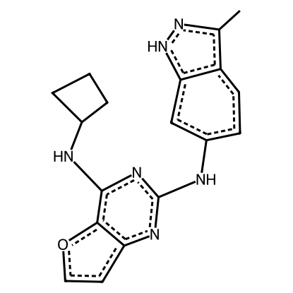 Cc1n[nH]c2cc(Nc3nc(NC4CCC4)c4occc4n3)ccc12